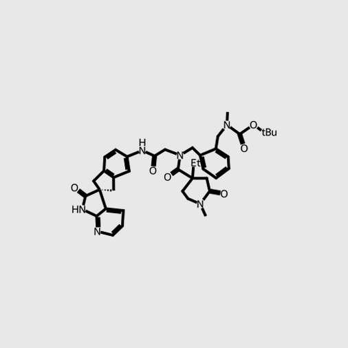 CCC1(C(=O)N(CC(=O)Nc2ccc3c(c2)C[C@@]2(C3)C(=O)Nc3ncccc32)Cc2ccccc2CN(C)C(=O)OC(C)(C)C)CCN(C)C(=O)C1